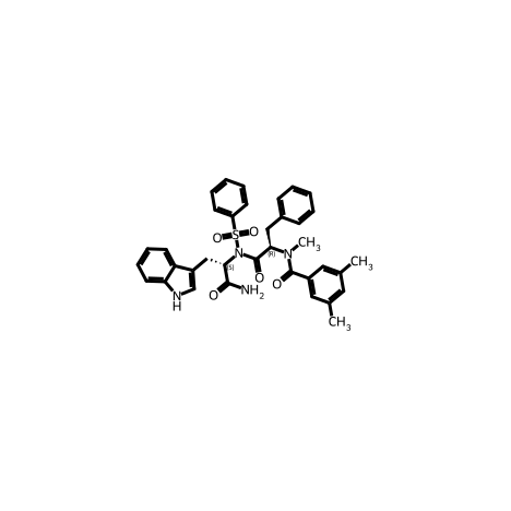 Cc1cc(C)cc(C(=O)N(C)[C@H](Cc2ccccc2)C(=O)N([C@@H](Cc2c[nH]c3ccccc23)C(N)=O)S(=O)(=O)c2ccccc2)c1